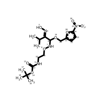 CC(C)C(=NO)C(NOCCNC(=O)OC(C)(C)C)OCc1ccc([N+](=O)[O-])o1